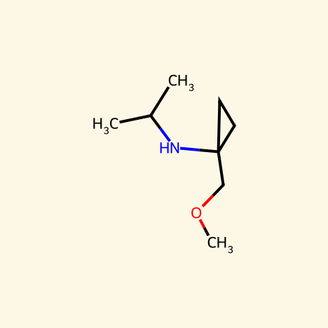 COCC1(NC(C)C)CC1